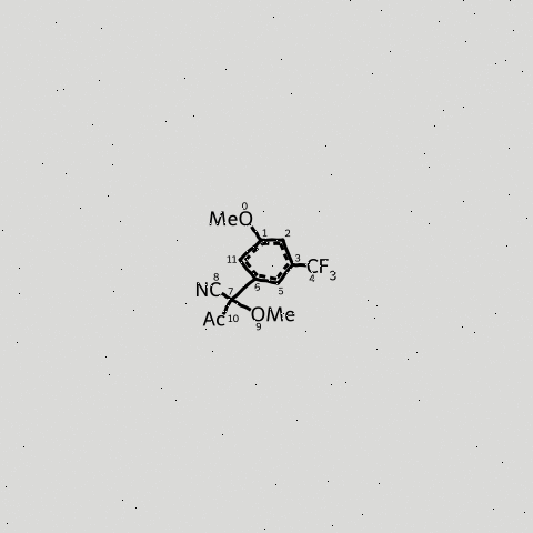 COc1cc(C(F)(F)F)cc(C(C#N)(OC)C(C)=O)c1